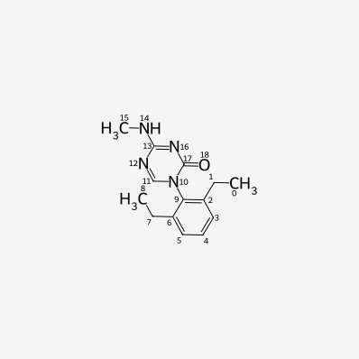 CCc1cccc(CC)c1-n1cnc(NC)nc1=O